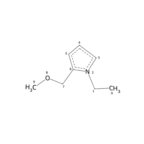 CCn1cccc1COC